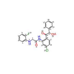 O=C(CNc1ccccc1F)Nc1cc(Cl)ccc1C(=O)C(O)c1ccccc1